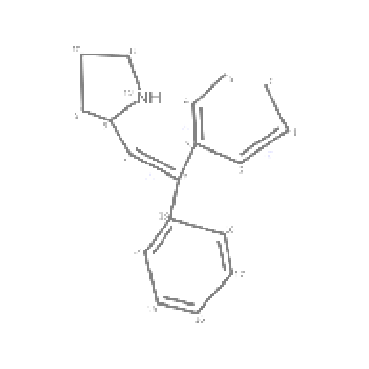 C\C=C/C(=C\C)C(=C\C1CCCN1)/c1ccccc1